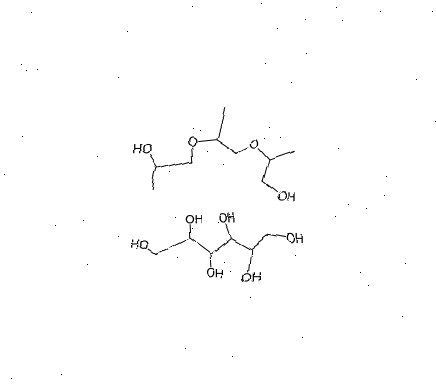 CC(O)COC(C)COC(C)CO.OCC(O)C(O)C(O)C(O)CO